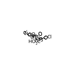 C[C@@H]1CCCN1c1ccc(S(=O)(=O)N2CC(=O)N(c3cc(C4=CCC(Cl)C=C4)sc3C(=O)O)[C@H](C3CCCCC3)C2)cc1